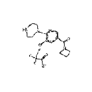 O=C(O)C(F)(F)F.O=C(c1cnc(N2CCNCC2)c(Cl)c1)N1CCC1